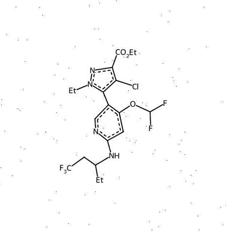 CCOC(=O)c1nn(CC)c(-c2cnc(NC(CC)CC(F)(F)F)cc2OC(F)F)c1Cl